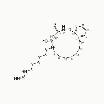 N=CNCCCCCCN1CCCCCCOc2ccccc2CNC(=N)NC1=O